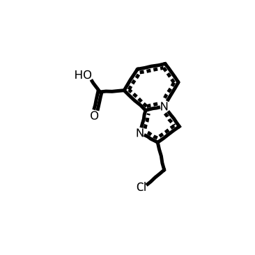 O=C(O)c1cccn2cc(CCl)nc12